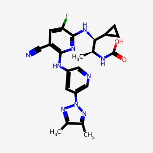 Cc1nn(-c2cncc(Nc3nc(N[C@@H](C4CC4)[C@H](C)NC(=O)O)c(F)cc3C#N)c2)nc1C